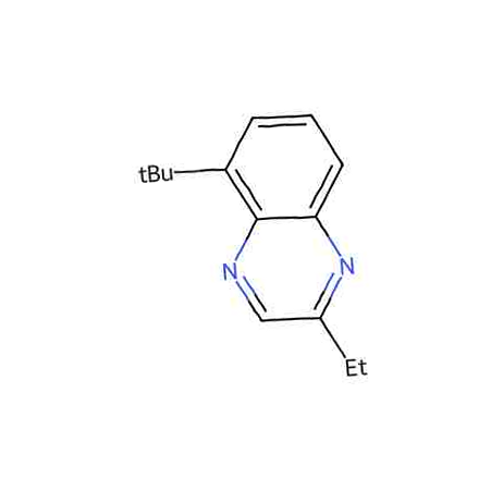 CCc1cnc2c(C(C)(C)C)cccc2n1